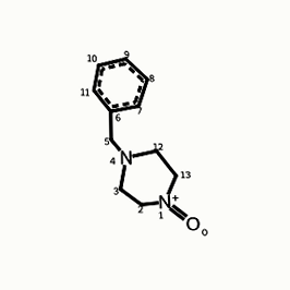 O=[N+]1CCN(Cc2ccccc2)CC1